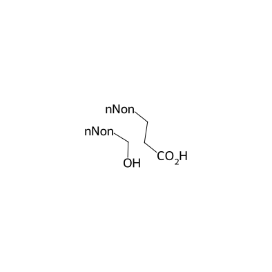 CCCCCCCCCCCC(=O)O.CCCCCCCCCCO